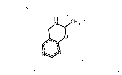 CC1NCc2cncnc2O1